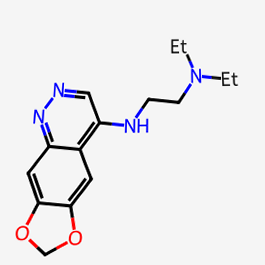 CCN(CC)CCNc1cnnc2cc3c(cc12)OCO3